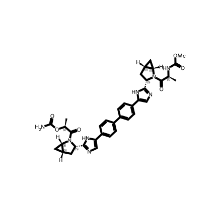 COC(=O)N[C@@H](C)C(=O)N1[C@H](c2ncc(-c3ccc(-c4ccc(-c5cnc([C@@H]6C[C@@H]7C[C@@H]7N6C(=O)[C@H](C)OC(N)=O)[nH]5)cc4)cc3)[nH]2)C[C@@H]2C[C@@H]21